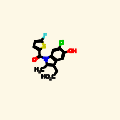 Cc1c(CC(=O)O)c2cc(O)c(Cl)cc2n1C(=O)c1ccc(F)s1